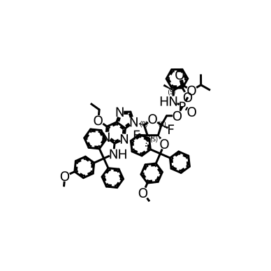 CCOc1nc(NC(c2ccccc2)(c2ccccc2)c2ccc(OC)cc2)nc2c1ncn2[C@@H]1O[C@](F)(COP(=O)(N[C@@H](C)C(=O)OC(C)C)Oc2ccccc2)[C@@H](OC(c2ccccc2)(c2ccccc2)c2ccc(OC)cc2)[C@@]1(C)F